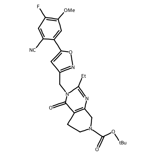 CCc1nc2c(c(=O)n1Cc1cc(-c3cc(OC)c(F)cc3C#N)on1)CCN(C(=O)OC(C)(C)C)C2